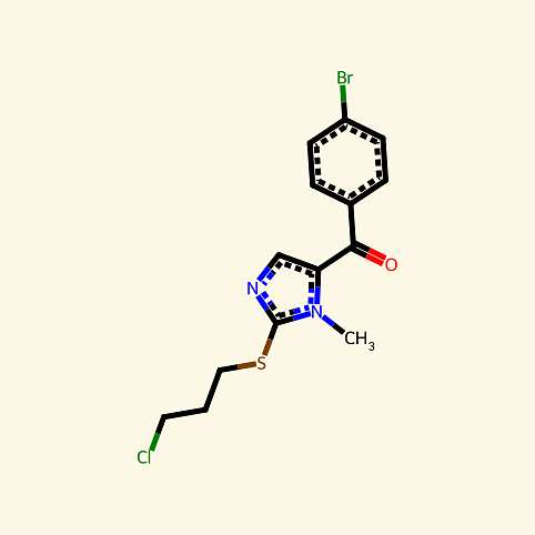 Cn1c(C(=O)c2ccc(Br)cc2)cnc1SCCCCl